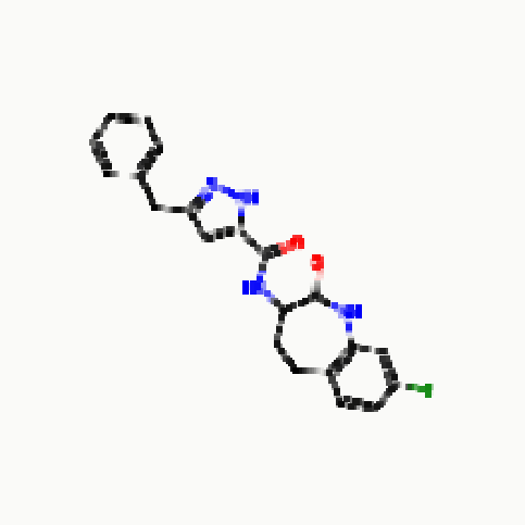 O=C(NC1CCc2ccc(F)cc2NC1=O)c1cc(Cc2ccccc2)n[nH]1